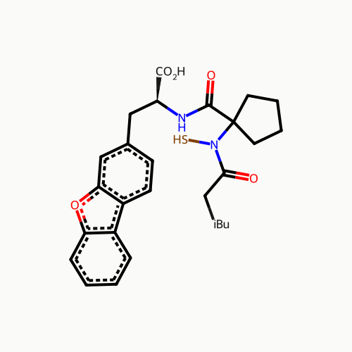 CCC(C)CC(=O)N(S)C1(C(=O)N[C@@H](Cc2ccc3c(c2)oc2ccccc23)C(=O)O)CCCC1